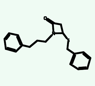 O=C1CC(SCc2ccccc2)N1CCCc1ccccc1